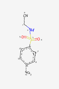 N#CCNS(=O)(=O)c1ccc([N+](=O)[O-])cc1